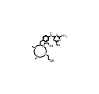 CN1CCN(C)CC(Cc2ccc(Nc3nc(N)nc(N)n3)cc2)N(CCO)CCN(CCO)CC1